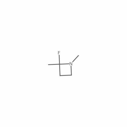 CN1CCC1(C)F